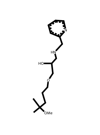 COC(C)(C)CCCOCC(O)CNCc1ccccn1